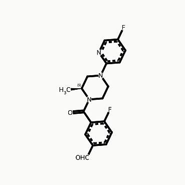 C[C@H]1CN(c2ccc(F)cn2)CCN1C(=O)c1cc(C=O)ccc1F